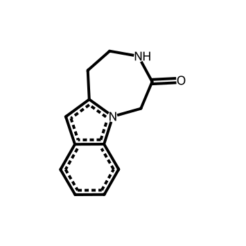 O=C1Cn2c(cc3ccccc32)CCN1